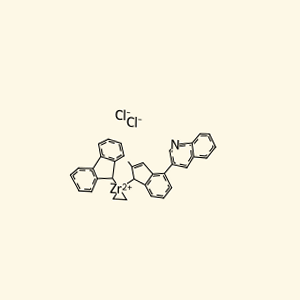 CC1=Cc2c(-c3cnc4ccccc4c3)cccc2[CH]1[Zr+2]1([CH]2c3ccccc3-c3ccccc32)[CH2][CH2]1.[Cl-].[Cl-]